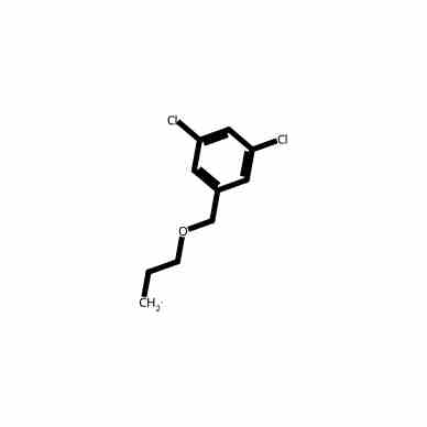 [CH2]CCOCc1cc(Cl)cc(Cl)c1